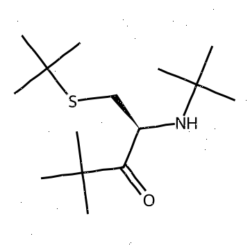 CC(C)(C)N[C@H](CSC(C)(C)C)C(=O)C(C)(C)C